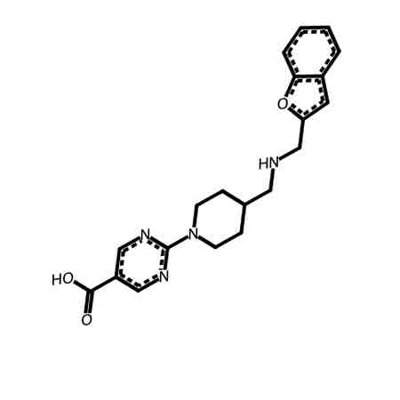 O=C(O)c1cnc(N2CCC(CNCc3cc4ccccc4o3)CC2)nc1